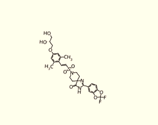 Cc1cc(OC[C@H](O)CO)cc(C)c1/C=C/S(=O)(=O)N1CCC2(CC1)N=C(c1ccc3c(c1)OC(F)(F)O3)NC2=O